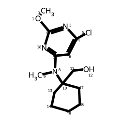 COc1nc(Cl)cc(N(C)C2(CO)CCCCC2)n1